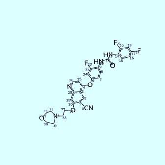 N#Cc1cc2c(Oc3ccc(NC(=O)Nc4ccc(F)cc4F)c(F)c3)ccnc2cc1OCCN1CCOCC1